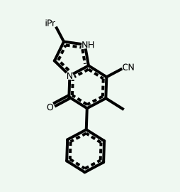 Cc1c(-c2ccccc2)c(=O)n2cc(C(C)C)[nH]c2c1C#N